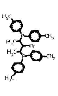 Cc1ccc(P(c2ccc(C)cc2)C(C)C(C(C)C)C(C)P(c2ccc(C)cc2)c2ccc(C)cc2)cc1